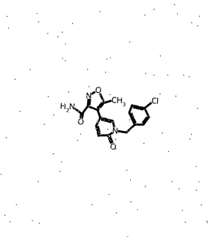 Cc1onc(C(N)=O)c1-c1ccc(=O)n(Cc2ccc(Cl)cc2)c1